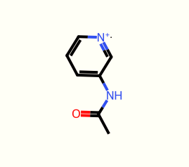 CC(=O)NC1=CC=C[N+]=C1